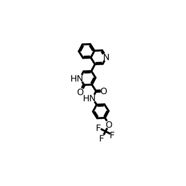 O=C(Nc1ccc(OC(F)(F)F)cc1)c1cc(-c2cncc3ccccc23)c[nH]c1=O